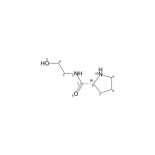 O=C(NCCO)[C@H]1CCCN1